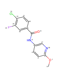 COc1ccc(NC(=O)c2ccc(Cl)c(I)c2)cn1